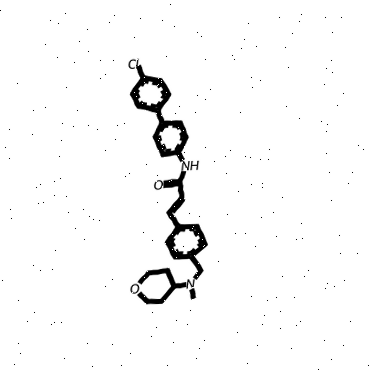 CN(Cc1ccc(C=CC(=O)Nc2ccc(-c3ccc(Cl)cc3)cc2)cc1)C1CCOCC1